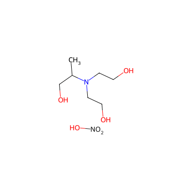 CC(CO)N(CCO)CCO.O=[N+]([O-])O